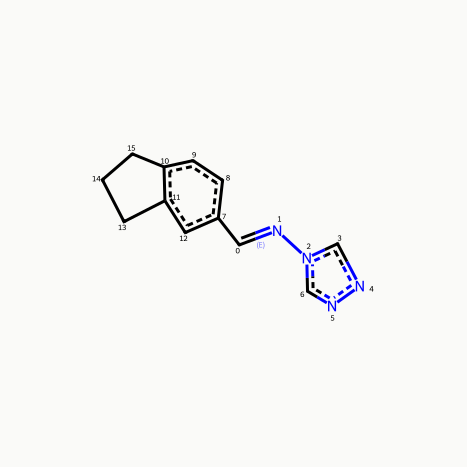 C(=N\n1cnnc1)/c1ccc2c(c1)CCC2